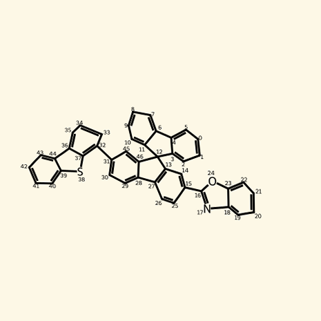 c1ccc2c(c1)-c1ccccc1C21c2cc(-c3nc4ccccc4o3)ccc2-c2ccc(-c3cccc4c3sc3ccccc34)cc21